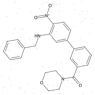 O=C(c1cccc(-c2ccc([N+](=O)[O-])c(NCc3ccccc3)c2)c1)N1CCOCC1